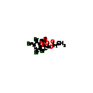 C=CC(=O)OC(C)OP(=O)(OCC(Br)CBr)OCC(Br)CBr